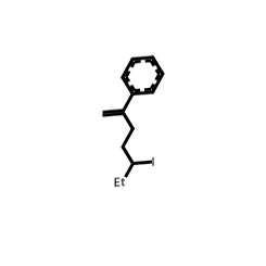 C=C(CCC(I)CC)c1ccccc1